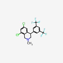 CN1Cc2c(Cl)cc(Cl)cc2C(c2cc(C(F)(F)F)cc(C(F)(F)F)c2)C1